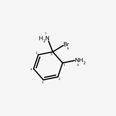 NC1C=CC=CC1(N)Br